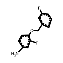 Nc1ccc(OCc2cccc(F)c2)c(F)c1